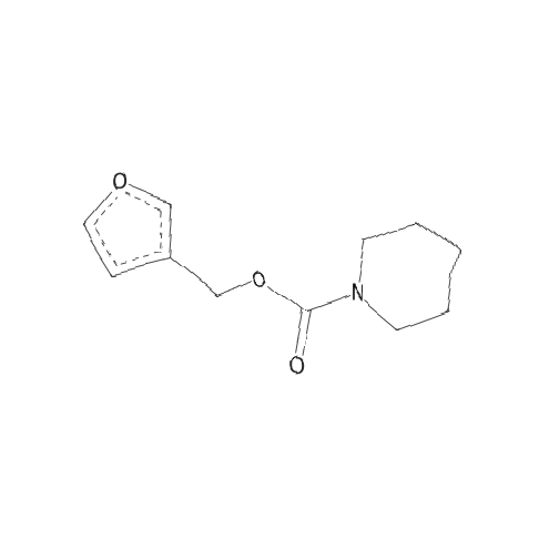 O=C(OCc1ccoc1)N1CCCCC1